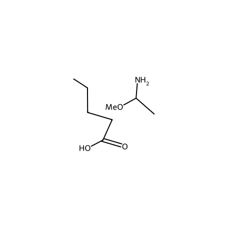 CCCCC(=O)O.COC(C)N